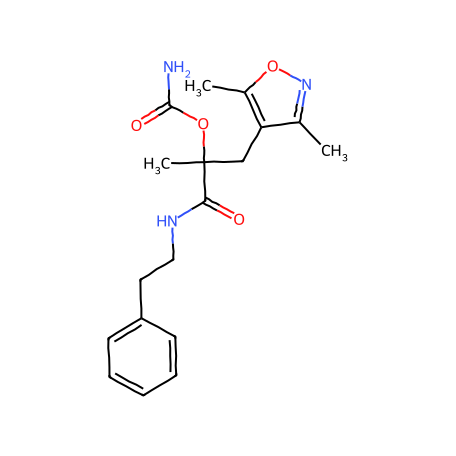 Cc1noc(C)c1CC(C)(OC(N)=O)C(=O)NCCc1ccccc1